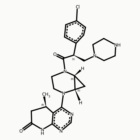 C[C@@H]1CC(=O)Nc2ncnc(N3CCN(C(=O)[C@H](CN4CCNCC4)c4ccc(Cl)cc4)[C@@H]4C[C@@H]43)c21